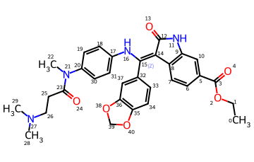 CCOC(=O)c1ccc2c(c1)NC(=O)/C2=C(\Nc1ccc(N(C)C(=O)CCN(C)C)cc1)c1ccc2c(c1)OCO2